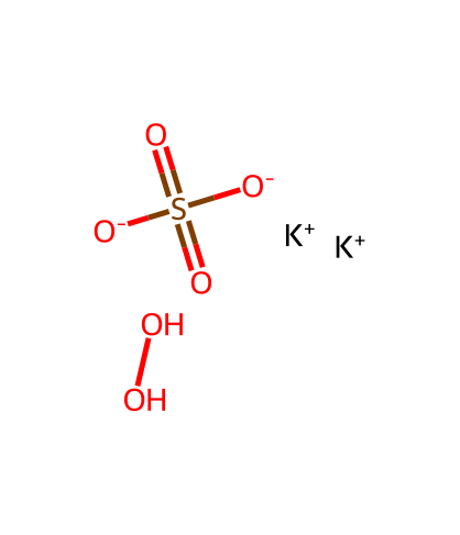 O=S(=O)([O-])[O-].OO.[K+].[K+]